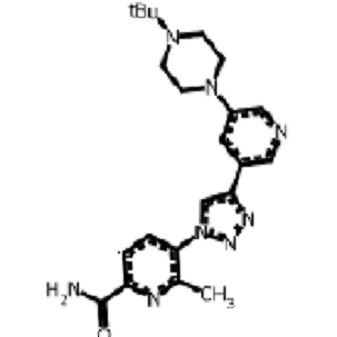 Cc1nc(C(N)=O)[c]cc1-n1cc(-c2cncc(N3CCN(C(C)(C)C)CC3)c2)nn1